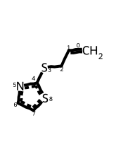 C=CCSc1nccs1